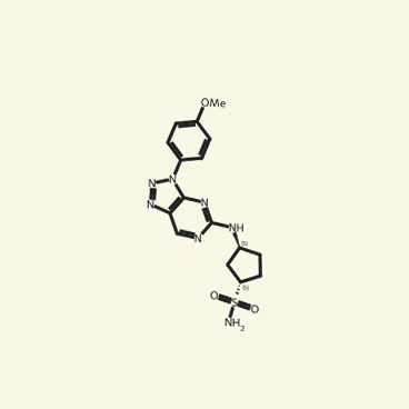 COc1ccc(-n2nnc3cnc(N[C@H]4CC[C@H](S(N)(=O)=O)C4)nc32)cc1